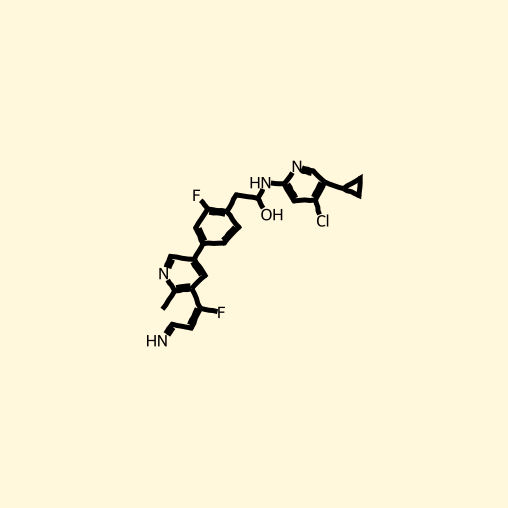 Cc1ncc(-c2ccc(CC(O)Nc3cc(Cl)c(C4CC4)cn3)c(F)c2)cc1/C(F)=C\C=N